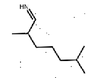 CC(C)CCCC(C)C=N